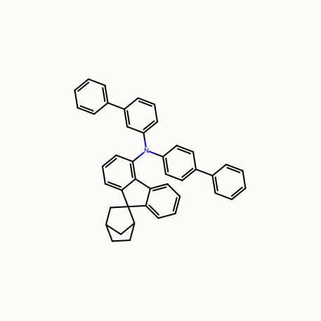 c1ccc(-c2ccc(N(c3cccc(-c4ccccc4)c3)c3cccc4c3-c3ccccc3C43CC4CCC3C4)cc2)cc1